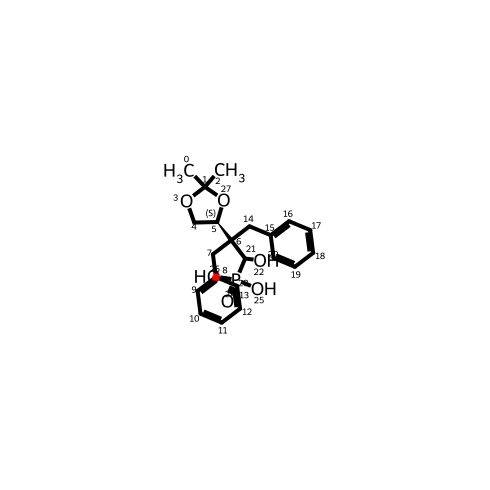 CC1(C)OC[C@H](C(Cc2ccccc2)(Cc2ccccc2)C(O)P(=O)(O)O)O1